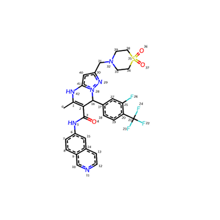 CC1=C(C(=O)Nc2ccc3cnccc3c2)C(c2ccc(C(F)(F)F)c(F)c2)n2nc(CN3CCS(=O)(=O)CC3)cc2N1